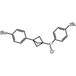 CC(C)(C)c1ccc([S+]([O-])C23CC(c4ccc(C(C)(C)C)cc4)(C2)C3)cc1